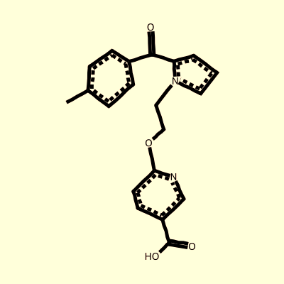 Cc1ccc(C(=O)c2cccn2CCOc2ccc(C(=O)O)cn2)cc1